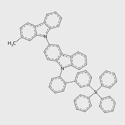 Cc1ccc2c3ccccc3n(-c3ccc4c(c3)c3ccccc3n4-c3ccccc3-c3cccc([Si](c4ccccc4)(c4ccccc4)c4ccccc4)c3)c2c1